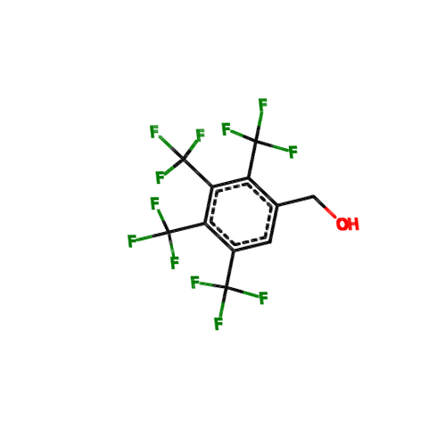 OCc1cc(C(F)(F)F)c(C(F)(F)F)c(C(F)(F)F)c1C(F)(F)F